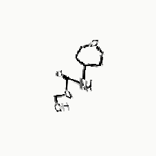 O=C(NC1CCOCC1)OCO